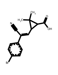 CC1(C)C(C=C(C#N)c2ccc(Br)cc2)C1C(=O)O